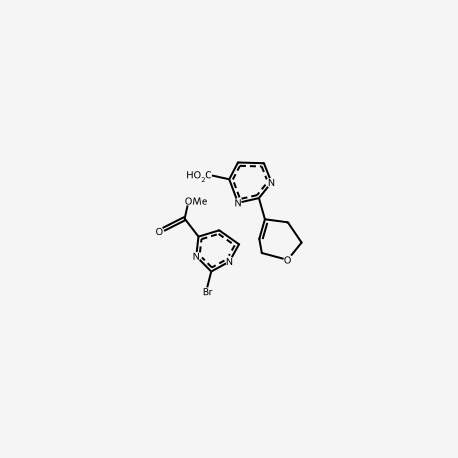 COC(=O)c1ccnc(Br)n1.O=C(O)c1ccnc(C2=CCOCC2)n1